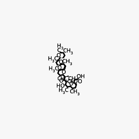 CC[C@@H](C(=O)[C@@H](C)[C@@H](O)[C@H](C)[C@@H]1O[C@@H](CC(=O)O)CC[C@@H]1C)[C@H]1O[C@]2(C=C[C@@H](C)[C@]3(CC[C@@](C)([C@H]4CC[C@@H](C)[C@H](C)O4)O3)O2)[C@H](C)C[C@@H]1C